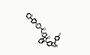 O=C(CN1CCC(C(=O)Nc2ccc3[nH]nc(-c4ccc(F)cc4)c3c2)(c2ccccc2)C1)N1CCN(c2ccc(-c3ncccn3)cc2)CC1